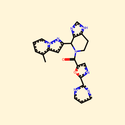 Cc1cccn2nc(C3c4nc[nH]c4CCN3C(=O)c3cnc(-c4ncccn4)o3)cc12